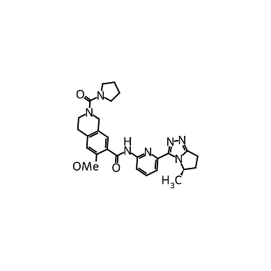 COc1cc2c(cc1C(=O)Nc1cccc(-c3nnc4n3[C@H](C)CC4)n1)CN(C(=O)N1CCCC1)CC2